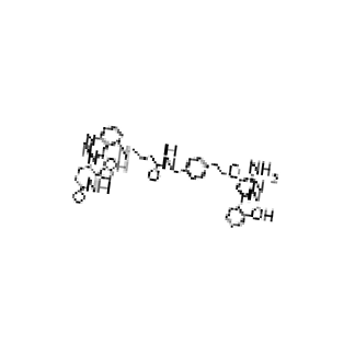 Nc1nnc(-c2ccccc2O)cc1OCCc1ccc(CNC(=O)CCCNc2cccc3nnn(C4CCC(=O)NC4=O)c(=O)c23)cc1